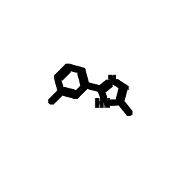 Cc1cccc(-c2n[c]c(C)[nH]2)c1